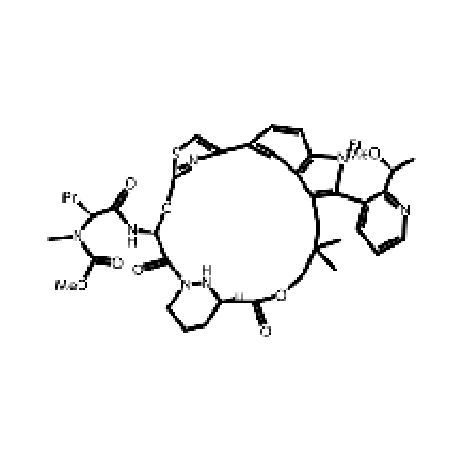 CCn1c(-c2cccnc2[C@H](C)OC)c2c3cc(ccc31)-c1csc(n1)C[C@H](NC(=O)[C@H](C(C)C)N(C)C(=O)OC)C(=O)N1CCC[C@H](N1)C(=O)OCC(C)(C)C2